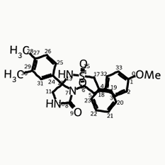 COc1ccc(CCN2C(=O)NCC2(NS(=O)(=O)Cc2ccccc2)c2ccc(C)c(C)c2)cc1